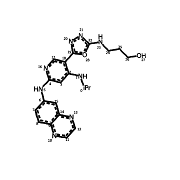 CC(C)Nc1cc(Nc2ccc3nccnc3c2)ncc1-c1nnc(NCCCO)o1